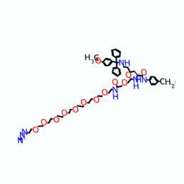 [CH2]c1ccc(NC(=O)[C@H](CCCCNC(c2ccccc2)(c2ccccc2)c2ccc(OC)cc2)NC(=O)COCC(=O)NCCOCCOCCOCCOCCOCCOCCOCCOCCN=[N+]=[N-])cc1